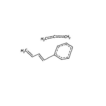 C=C=C.C=CC=Cc1ccccc1